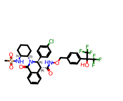 CS(=O)(=O)N[C@H]1CCCC[C@@H]1N1C(=O)c2ccccc2[C@@H](C(=O)NOCc2ccc(C(O)(C(F)(F)F)C(F)(F)F)cc2)[C@@H]1c1ccc(Cl)cc1